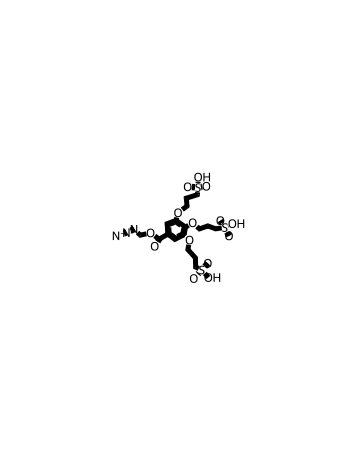 [N-]=[N+]=NCOC(=O)c1cc(OCCCS(=O)(=O)O)c(OCCCS(=O)(=O)O)c(OCCCS(=O)(=O)O)c1